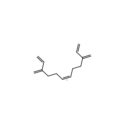 C=CC(=C)CC/C=C\CCC(=C)C=C